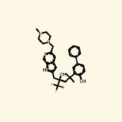 CN1CCN(Cc2cc3cc(CC(O)(CC(C)(C)c4cc(-c5ccccc5)ccc4O)C(F)(F)F)[nH]c3cn2)CC1